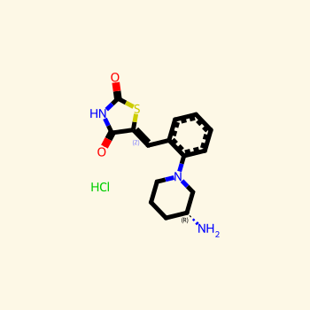 Cl.N[C@@H]1CCCN(c2ccccc2/C=C2\SC(=O)NC2=O)C1